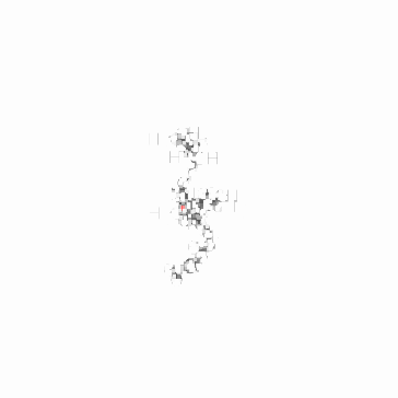 C[C@H](/C=C/COc1cc(N(C(=O)OC(C)(C)C)c2cc([C@H]3CC[C@@H](OC(=O)Oc4ccc([N+](=O)[O-])cc4)C3)nn2C(C)(C)C)ccn1)NC(=O)OC(C)(C)C